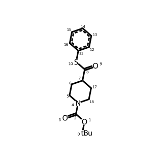 CC(C)(C)OC(=O)N1CCC(C(=O)Sc2ccccc2)CC1